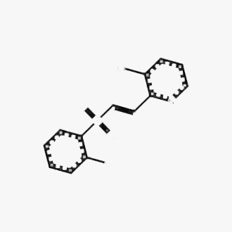 O=S(=O)(/C=C/c1ncccc1Cl)c1ccccc1Cl